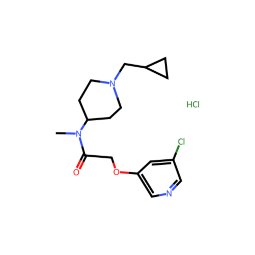 CN(C(=O)COc1cncc(Cl)c1)C1CCN(CC2CC2)CC1.Cl